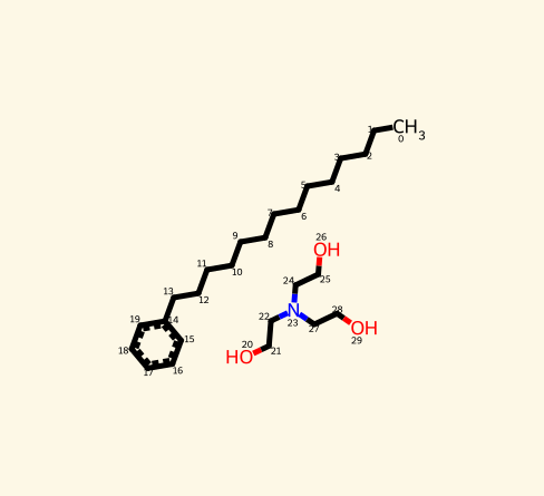 CCCCCCCCCCCCCCc1ccccc1.OCCN(CCO)CCO